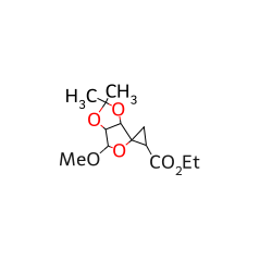 CCOC(=O)C1CC12OC(OC)C1OC(C)(C)OC12